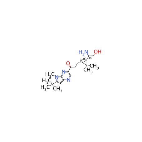 Cn1c(C(C)(C)C)cc2ncc(C(=O)CC[C@@H]3[C@H]([C@@H](N)CO)C3(C)C)nc21